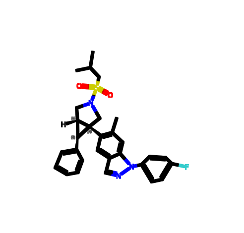 Cc1cc2c(cnn2-c2ccc(F)cc2)cc1[C@]12CN(S(=O)(=O)CC(C)C)C[C@H]1[C@@H]2c1ccccc1